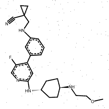 COCCN[C@H]1CC[C@H](Nc2cc(-c3cccc(NCC4(C#N)CC4)c3)c(F)cn2)CC1